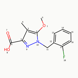 COc1c(C)c(C(=O)O)nn1Cc1ccccc1F